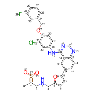 CC(CNCc1ccc(-c2ccc3ncnc(Nc4ccc(OCc5cccc(F)c5)c(Cl)c4)c3c2)o1)[SH](=O)=O